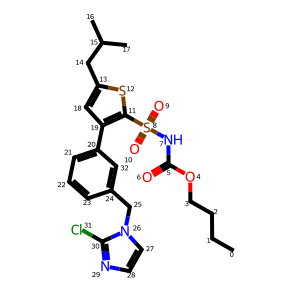 CCCCOC(=O)NS(=O)(=O)c1sc(CC(C)C)cc1-c1cccc(Cn2ccnc2Cl)c1